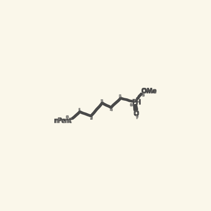 CCCCCCCCCC[PH](=O)OC